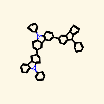 c1ccc(C2c3ccccc3-c3cc(-c4ccc5c(c4)c4cc(-c6ccc7c(c6)c6ccccc6n7-c6ccccc6)ccc4n5-c4ccccc4)ccc32)cc1